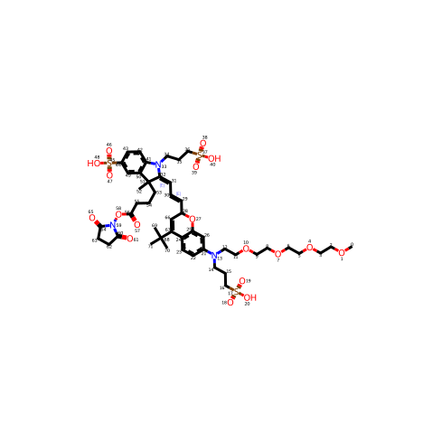 COCCOCCOCCOCCN(CCCS(=O)(=O)O)c1ccc2c(c1)OC(/C=C/C=C1/N(CCCS(=O)(=O)O)c3ccc(S(=O)(=O)O)cc3C1(C)CCCC(=O)ON1C(=O)CCC1=O)C=C2C(C)(C)C